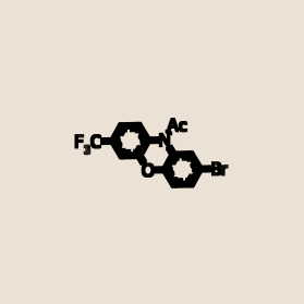 CC(=O)N1c2ccc(C(F)(F)F)cc2Oc2ccc(Br)cc21